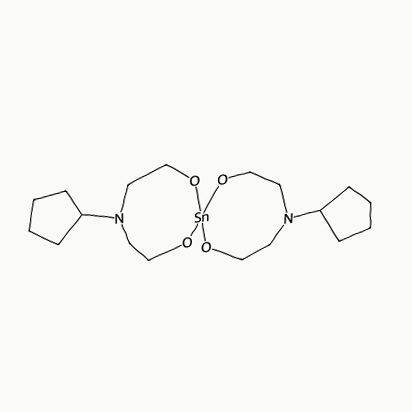 C1CCC(N2CC[O][Sn]3([O]CC2)[O]CCN(C2CCCC2)CC[O]3)C1